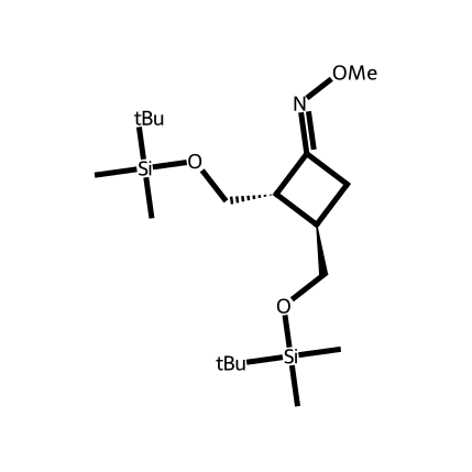 CON=C1C[C@@H](CO[Si](C)(C)C(C)(C)C)[C@@H]1CO[Si](C)(C)C(C)(C)C